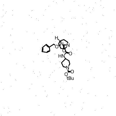 CC(C)(C)OC(=O)N1CCC(NC(=O)C2CC[C@@H]3CCN2C(=O)N3OCc2ccccc2)CC1